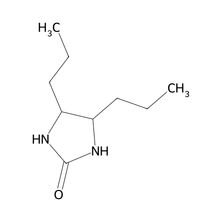 CCCC1NC(=O)NC1CCC